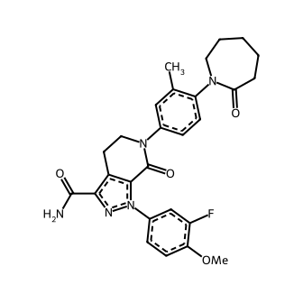 COc1ccc(-n2nc(C(N)=O)c3c2C(=O)N(c2ccc(N4CCCCCC4=O)c(C)c2)CC3)cc1F